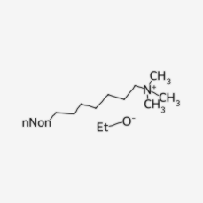 CCCCCCCCCCCCCCCC[N+](C)(C)C.CC[O-]